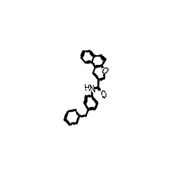 O=C(Nc1ccc(C[C]2CCCCC2)cc1)C1=Cc2c(ccc3ccccc23)OC1